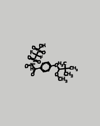 COC(Oc1ccc(C(=O)[NH+]([O-])S(=O)(=O)C(F)(F)S(=O)(=O)O)cc1)C(C)(C)C